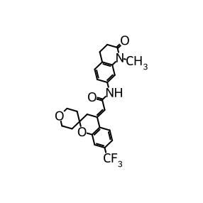 CN1C(=O)CCc2ccc(NC(=O)/C=C3\CC4(CCOCC4)Oc4cc(C(F)(F)F)ccc43)cc21